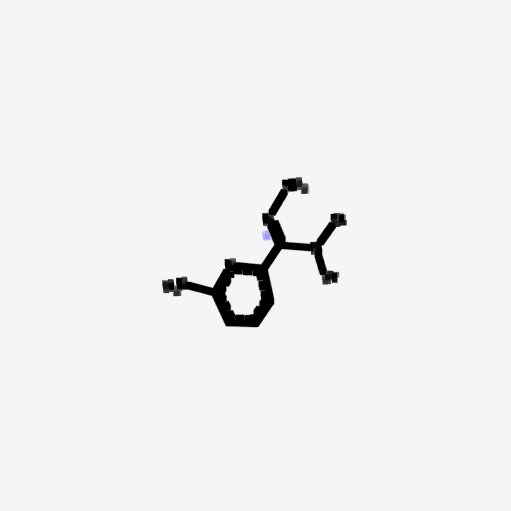 CCN(/C(=N\N)c1cccc(N)n1)C(C)C